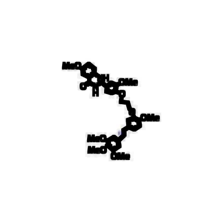 COc1ccc2c(c1)C(=O)NC(c1ccc(OCCCOc3cc(/C=C/c4cc(OC)c(OC)c(OC)c4)ccc3OC)c(OC)c1)N2